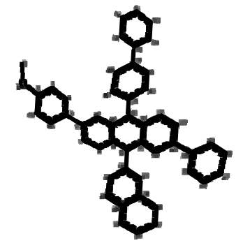 COc1ccc(-c2ccc3c(-c4ccc5ccccc5c4)c4cc(-c5ccccc5)ccc4c(-c4ccc(-c5ccccc5)cc4)c3c2)cc1